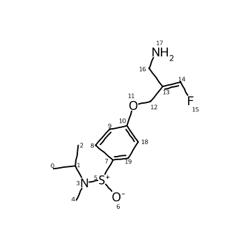 CC(C)N(C)[S+]([O-])c1ccc(OC/C(=C\F)CN)cc1